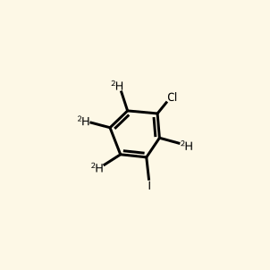 [2H]c1c([2H])c(Cl)c([2H])c(I)c1[2H]